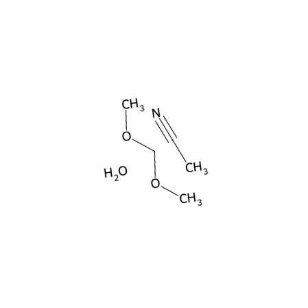 CC#N.COCOC.O